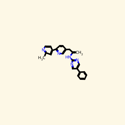 C=C(Cc1ccc(-c2ccnc(C)c2)nc1)Nc1ncc(-c2ccccc2)cn1